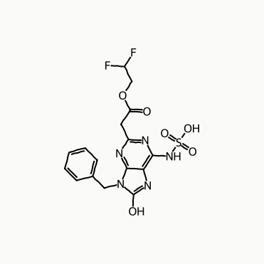 O=C(Cc1nc(NS(=O)(=O)O)c2nc(O)n(Cc3ccccc3)c2n1)OCC(F)F